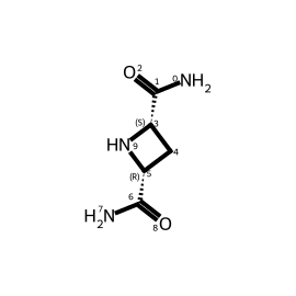 NC(=O)[C@@H]1C[C@H](C(N)=O)N1